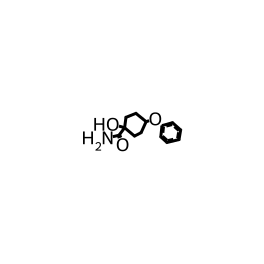 NC(=O)C1(O)CCC(Oc2ccccc2)CC1